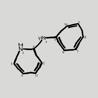 C1=CN[C](Nc2ccccc2)C=C1